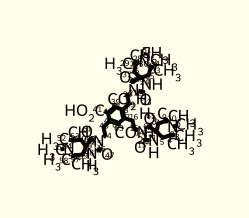 CN1C(C)(C)CC2(CC1(C)C)NC(=O)N(CCc1c(CCN3C(=O)NC4(CC(C)(C)N(C)C(C)(C)C4)C3=O)c(C(=O)O)c(C(=O)O)c(CCN3C(=O)NC4(CC(C)(C)N(C)C(C)(C)C4)C3=O)c1C(=O)O)C2=O